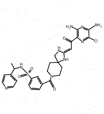 CC(NS(=O)(=O)c1cccc(C(=O)N2CCC3(CC2)CN/C(=C\C(=O)c2nc(Cl)c(N)nc2N)N3)c1)c1ccncc1